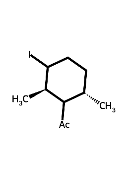 CC(=O)C1[C@@H](C)C(I)CC[C@@H]1C